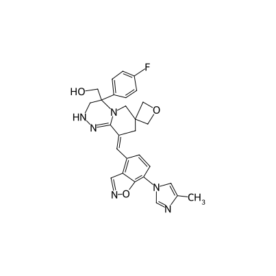 Cc1cn(-c2ccc(/C=C3\CC4(COC4)CN4C3=NNCC4(CO)c3ccc(F)cc3)c3cnoc23)cn1